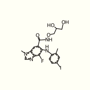 Cc1cc(I)ccc1Nc1c(C(=O)NOCC(O)CO)cc2c(ncn2C)c1F